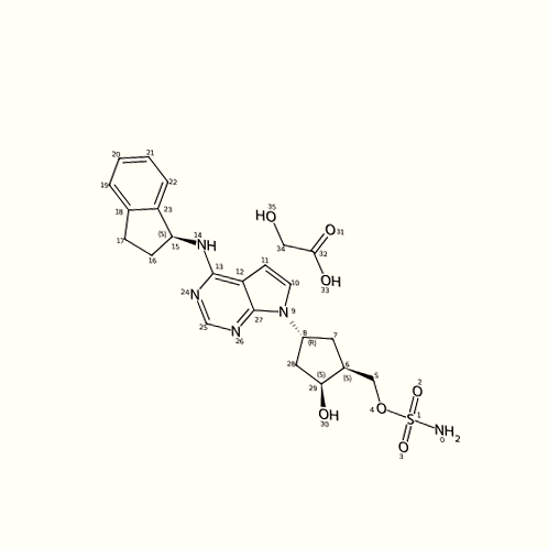 NS(=O)(=O)OC[C@@H]1C[C@@H](n2ccc3c(N[C@H]4CCc5ccccc54)ncnc32)C[C@@H]1O.O=C(O)CO